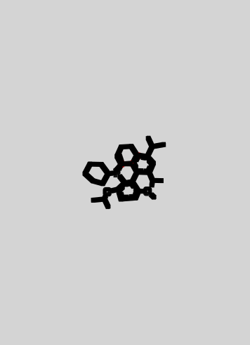 COc1ccc(OC(C)C)c(P(C2CCCCC2)C2CCCCC2)c1-c1c(C(C)C)cc(C(C)C)cc1C(C)C